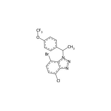 CC(c1ccc(OC(F)(F)F)cc1)n1nnc2c(Cl)ccc(Br)c21